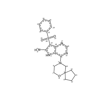 Nc1[nH]c2c(N3CCOC4(CCCC4)C3)ncnc2c1S(=O)(=O)c1ccccc1